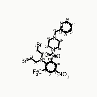 O=[N+]([O-])c1cc(C(F)(F)F)c(N(CCBr)CCBr)c(S(=O)(=O)N2CCN(Cc3ccccn3)CC2)c1